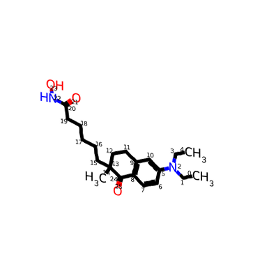 CCN(CC)c1ccc2c(c1)CCC(C)(CCCCCC(=O)NO)C2=O